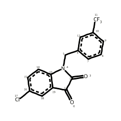 O=C1C(=O)N(Cc2cccc(C(F)(F)F)c2)c2ccc(Cl)cc21